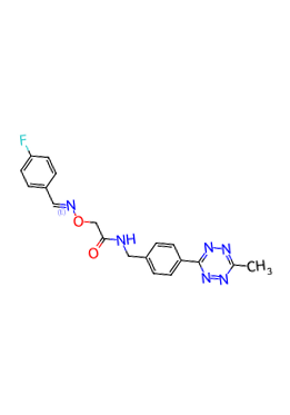 Cc1nnc(-c2ccc(CNC(=O)CO/N=C/c3ccc(F)cc3)cc2)nn1